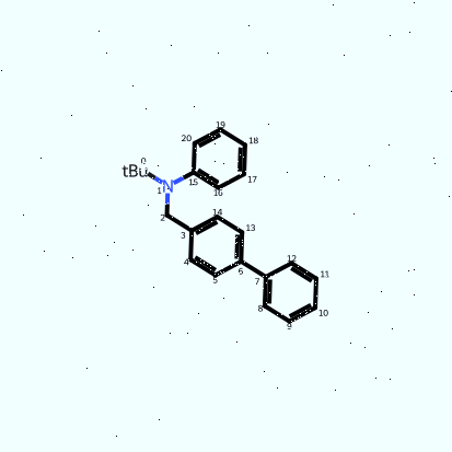 CC(C)(C)N(Cc1ccc(-c2ccccc2)cc1)c1ccccc1